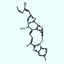 C/C=C\C(Br)=C/c1cn2c(n1)-c1sc3c(C)c1/C(=C\C=C(/C)c1nc4cc(C)ccc4n1O3)C2O